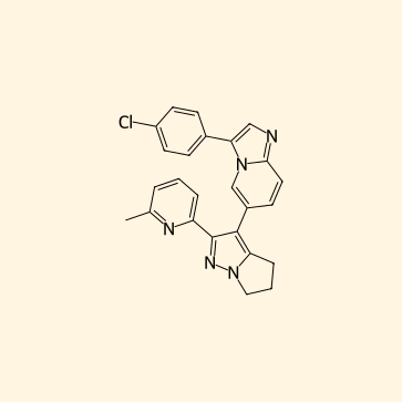 Cc1cccc(-c2nn3c(c2-c2ccc4ncc(-c5ccc(Cl)cc5)n4c2)CCC3)n1